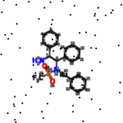 NC(c1ccccc1)C(c1ccccc1)[N]([Ru][c]1ccccc1)S(=O)(=O)C(F)(F)F